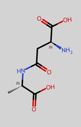 C[C@H](NC(=O)C[C@H](N)C(=O)O)C(=O)O